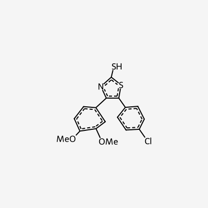 COc1ccc(-c2nc(S)sc2-c2ccc(Cl)cc2)cc1OC